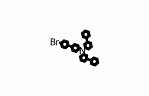 Brc1ccc(-c2ccc(N(c3cccc(-c4ccccc4)c3)c3cccc(-c4ccccc4)c3)cc2)cc1